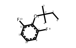 CCC(C)(C)Oc1c(F)cccc1F